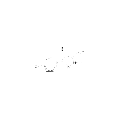 Fc1ccc(-c2nn3c(c2Br)C2CC2C3)cc1